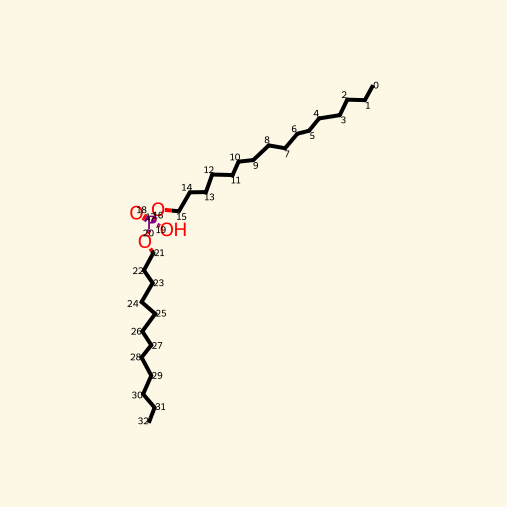 CCCCCCCCCCCCCCCCOP(=O)(O)OCCCCCCCCCCCC